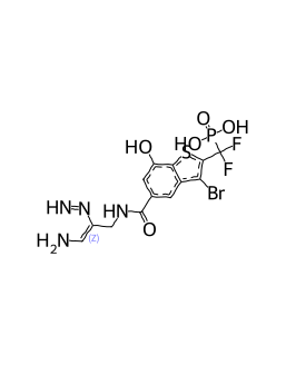 N=N/C(=C\N)CNC(=O)c1cc(O)c2sc(C(F)(F)P(=O)(O)O)c(Br)c2c1